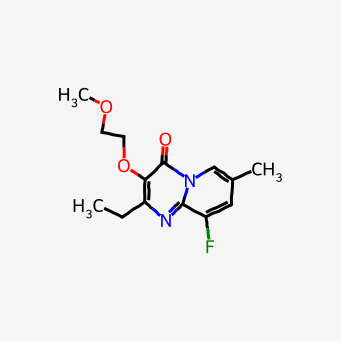 CCc1nc2c(F)cc(C)cn2c(=O)c1OCCOC